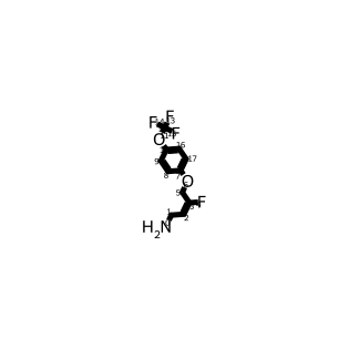 NC/C=C(/F)COc1ccc(OC(F)(F)F)cc1